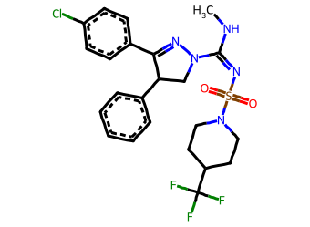 CNC(=NS(=O)(=O)N1CCC(C(F)(F)F)CC1)N1CC(c2ccccc2)C(c2ccc(Cl)cc2)=N1